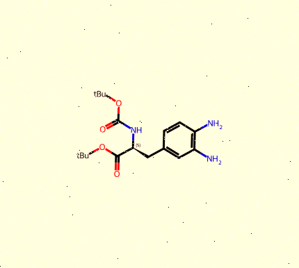 CC(C)(C)OC(=O)N[C@@H](Cc1ccc(N)c(N)c1)C(=O)OC(C)(C)C